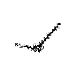 C=C(C)C(OC(=O)CCCCCCCBr)OC(=O)NCCCCCCCCCCCCCCC